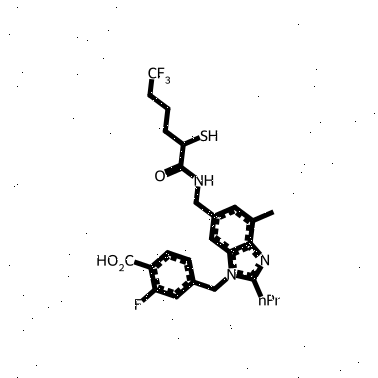 CCCc1nc2c(C)cc(CNC(=O)C(S)CCCC(F)(F)F)cc2n1Cc1ccc(C(=O)O)c(F)c1